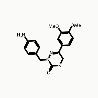 COc1ccc(C2=NN(Cc3ccc(N)cc3)C(=O)SC2)cc1OC